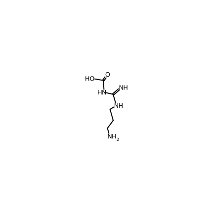 N=C(NCCCN)NC(=O)O